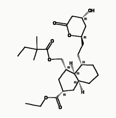 CCOC(=O)[C@H]1C[C@@H]2CCC[C@@H](CC[C@@H]3C[C@@H](O)CC(=O)O3)[C@@H]2[C@@H](COC(=O)C(C)(C)CC)C1